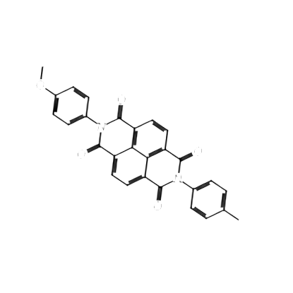 COc1ccc(N2C(=O)c3ccc4c5c(ccc(c35)C2=O)C(=O)N(c2ccc(C)cc2)C4=O)cc1